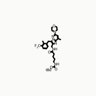 Cc1c(Cc2c(CNC(=O)CCCCNC(=O)OC(C)(C)C)nc3c(C)cc(N4CCOCC4)nn23)cccc1C(F)(F)F